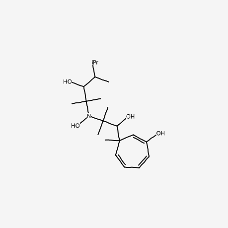 CC(C)C(C)C(O)C(C)(C)N(O)C(C)(C)C(O)C1(C)C=CC=CC(O)=C1